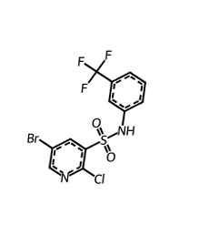 O=S(=O)(Nc1cccc(C(F)(F)F)c1)c1cc(Br)cnc1Cl